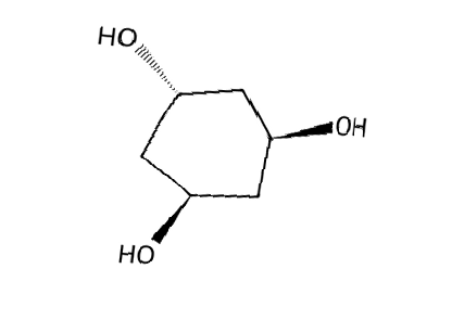 O[C@H]1C[C@H](O)C[C@@H](O)C1